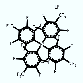 Fc1c(F)c(C(F)(F)F)c(F)c(F)c1[B-](c1c(F)c(F)c(C(F)(F)F)c(F)c1F)(c1c(F)c(F)c(C(F)(F)F)c(F)c1F)c1c(F)c(F)c(C(F)(F)F)c(F)c1F.[Li+]